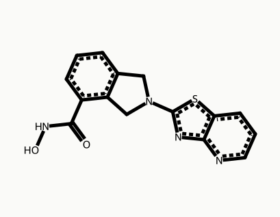 O=C(NO)c1cccc2c1CN(c1nc3ncccc3s1)C2